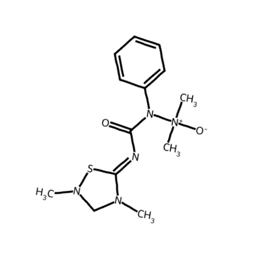 CN1CN(C)C(=NC(=O)N(c2ccccc2)[N+](C)(C)[O-])S1